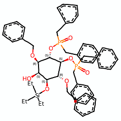 CC[Si](CC)(CC)O[C@H]1[C@@H](O)[C@@H](OCc2ccccc2)[C@H](OP(=O)(Cc2ccccc2)Cc2ccccc2)[C@@H](OP(=O)(Cc2ccccc2)Cc2ccccc2)[C@@H]1OCc1ccccc1